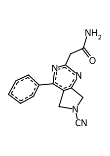 N#CN1Cc2nc(CC(N)=O)nc(-c3ccccc3)c2C1